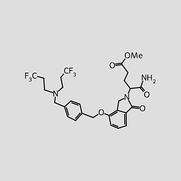 COC(=O)CCC(C(N)=O)N1Cc2c(OCc3ccc(CN(CCC(F)(F)F)CCC(F)(F)F)cc3)cccc2C1=O